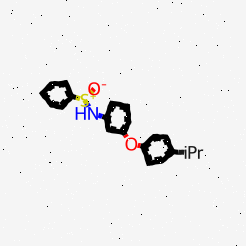 CC(C)c1ccc(Oc2cccc(N[S+]([O-])c3ccccc3)c2)cc1